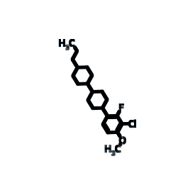 CCCC1CCC(C2CCC(c3ccc(OC)c(Cl)c3F)CC2)CC1